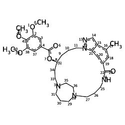 COc1cc(C(=O)O[C@H]2CCCn3ncc4c(C)cc(cc43)C(=O)NCCCN3CCCN(CC2)CC3)cc(OC)c1OC